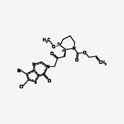 C=CCOC(=O)N1CCC[C@@H](OC)[C@@H]1CC(=O)Cn1cnc2c(Br)c(Cl)sc2c1=O